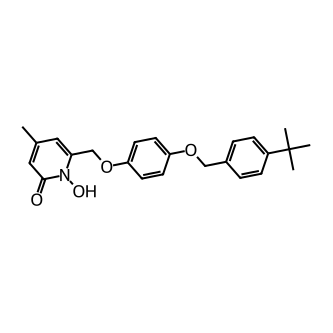 Cc1cc(COc2ccc(OCc3ccc(C(C)(C)C)cc3)cc2)n(O)c(=O)c1